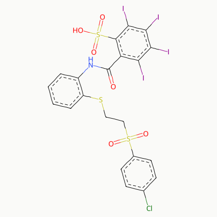 O=C(Nc1ccccc1SCCS(=O)(=O)c1ccc(Cl)cc1)c1c(I)c(I)c(I)c(I)c1S(=O)(=O)O